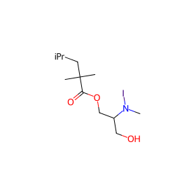 CC(C)CC(C)(C)C(=O)OCC(CO)N(C)I